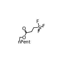 CCCCCCOC(=O)CC[Si](F)(F)F